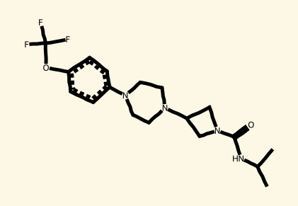 CC(C)NC(=O)N1CC(N2CCN(c3ccc(OC(F)(F)F)cc3)CC2)C1